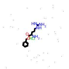 Cl.N=C(N)NCCC[C@H](N)C(=O)OCc1ccccc1